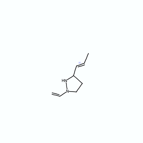 C=CN1CCC(/C=C/C)N1